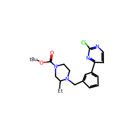 CCC1CN(C(=O)OC(C)(C)C)CCN1Cc1cccc(-c2ccnc(Cl)n2)c1